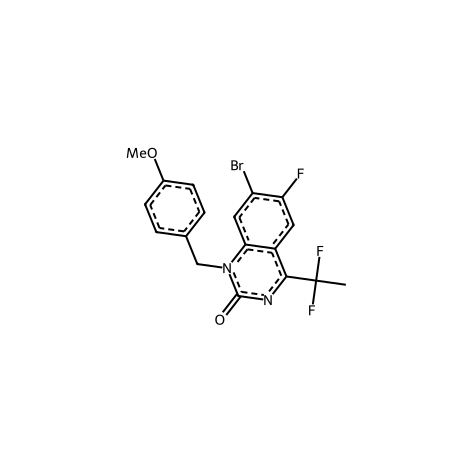 COc1ccc(Cn2c(=O)nc(C(C)(F)F)c3cc(F)c(Br)cc32)cc1